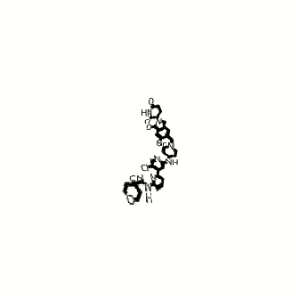 N#CC1(CNc2cccc(-c3cc(NC4CCN(Cc5cc6c(cc5Br)C(=O)N(C5CCC(=O)NC5=O)C6)CC4)ncc3Cl)n2)CCOCC1